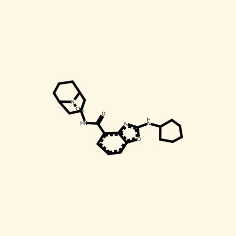 CN1C2CCCC1CC(NC(=O)c1cccc3oc(NC4CCCCC4)nc13)C2